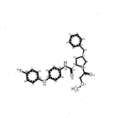 COCC(=O)N1C[C@H](Cc2ccccc2)C[C@H]1C(=O)Nc1ccc(Oc2ccc(F)cc2)cc1